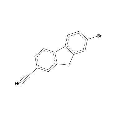 C#Cc1ccc2c(c1)Cc1cc(Br)ccc1-2